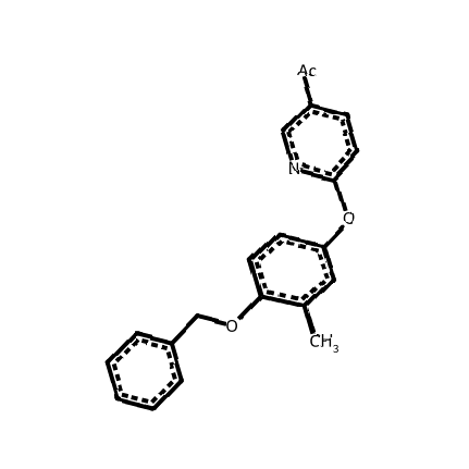 CC(=O)c1ccc(Oc2ccc(OCc3ccccc3)c(C)c2)nc1